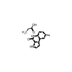 CCC(=O)O.O=c1[nH]c2ccc(I)cc2c2cc[nH]c12